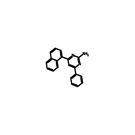 Nc1nc(-c2ccccc2)cc(-c2cccc3ccccc23)n1